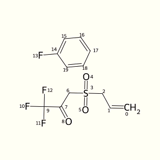 C=CCS(=O)(=O)CC(=O)C(F)(F)F.Fc1ccccc1